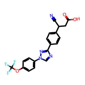 N#CC(CC(=O)O)c1ccc(-c2ncn(-c3ccc(OC(F)(F)F)cc3)n2)cc1